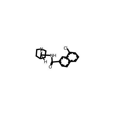 O=C(N[C@H]1CN2CCC1CC2)c1ccc2cccc(Cl)c2c1